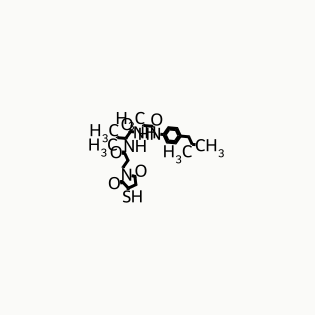 CC(C)Cc1ccc(NC(=O)C(C)NC(=O)C(NC(=O)CCN2C(=O)CC(S)C2=O)C(C)C)cc1